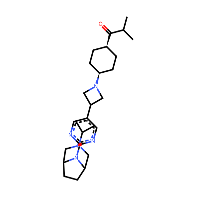 CC(C)C(=O)[C@H]1CC[C@@H](N2CC(c3cnc(N4C5CCC4CN(C(C)C)C5)nc3)C2)CC1